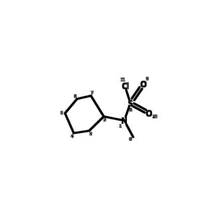 CN(C1CCCCC1)S(=O)(=O)Cl